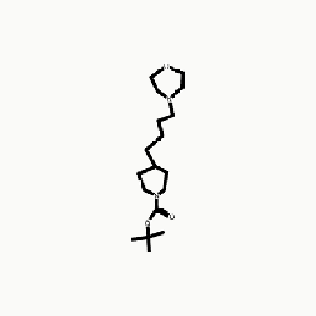 CC(C)(C)OC(=O)N1CCC(CCCCN2CCOCC2)CC1